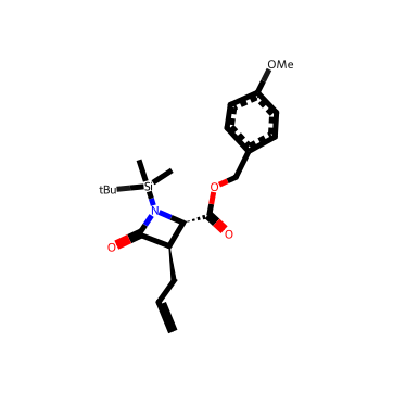 C=CC[C@H]1C(=O)N([Si](C)(C)C(C)(C)C)[C@@H]1C(=O)OCc1ccc(OC)cc1